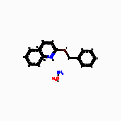 N.O.c1ccc(CSc2ccc3ccccc3n2)cc1